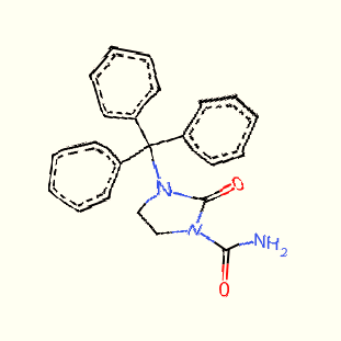 NC(=O)N1CCN(C(c2ccccc2)(c2ccccc2)c2ccccc2)C1=O